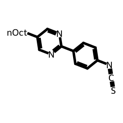 CCCCCCCCc1cnc(-c2ccc(N=C=S)cc2)nc1